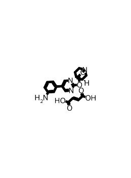 Nc1cccc(-c2cnc(O[C@@H]3CN4CCC3CC4)nc2)c1.O=C(O)/C=C/C(=O)O